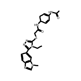 CCn1c(SCC(=O)NC2C=CC(NC(C)=O)=CC2)nnc1-c1ccc2ncn(C)c2c1